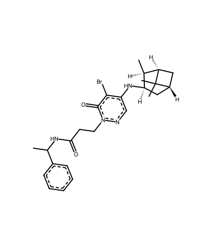 CC(NC(=O)CCn1ncc(N[C@@H]2C[C@H]3C[C@H]([C@@H]2C)C3(C)C)c(Br)c1=O)c1ccccc1